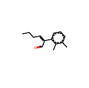 CCC/C=C(\C=O)c1cccc(C)c1C